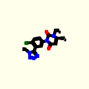 CCn1nnnc1-c1cc(-n2c(=O)cc(C(F)(F)F)n(C)c2=O)ccc1Cl